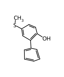 CSc1ccc(O)c(-c2ccccc2)c1